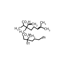 C=CC(C)(CCC=C(C)C)C(C)C(=O)O.CCC(C)(CCCC(C)C)CC(=O)O